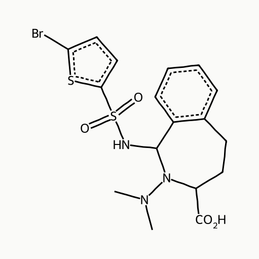 CN(C)N1C(C(=O)O)CCc2ccccc2C1NS(=O)(=O)c1ccc(Br)s1